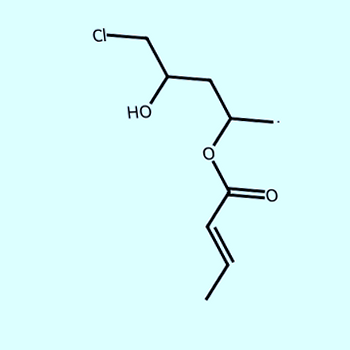 [CH2]C(CC(O)CCl)OC(=O)C=CC